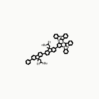 CCCCC(CC)CC1(C)c2cc(-c3ccccc3)ccc2-c2ccc(-c3ccc4c(c3)C(C)(CC(CC)CCCC)c3cc(-c5cc6c7c(c5)-n5c8ccccc8n8c9ccccc9c(c58)B7c5c7ccccc7n7c8ccccc8n-6c57)ccc3-4)cc21